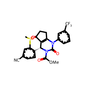 COC(=O)N1C(=O)N(c2cccc(C(F)(F)F)c2)C2=C(C(=O)CC2)[C@H]1c1ccc(C#N)cc1[S+](C)[O-]